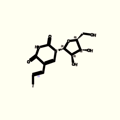 O=c1[nH]c(=O)n([C@@H]2O[C@H](CO)[C@H](O)[C@H]2O)cc1/C=C/I